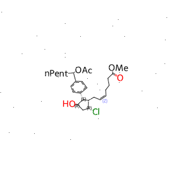 CCCCCC(OC(C)=O)c1ccc([C@@H]2C(C/C=C\CCCC(=O)OC)[C@H](Cl)C[C@H]2O)cc1